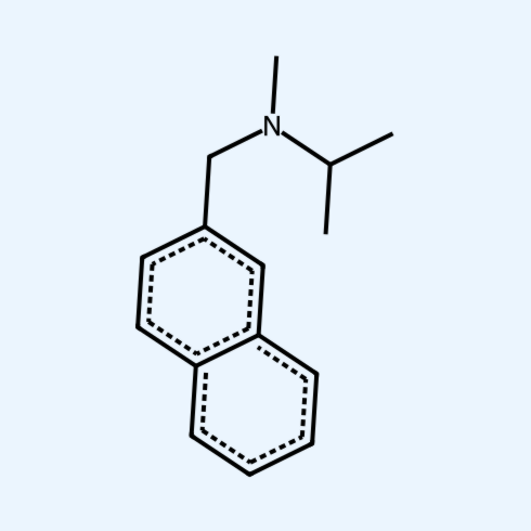 CC(C)N(C)Cc1ccc2ccccc2c1